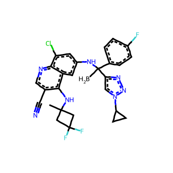 BC(Nc1cc(Cl)c2ncc(C#N)c(NC3(C)CC(F)(F)C3)c2c1)(c1ccc(F)cc1)c1cn(C2CC2)nn1